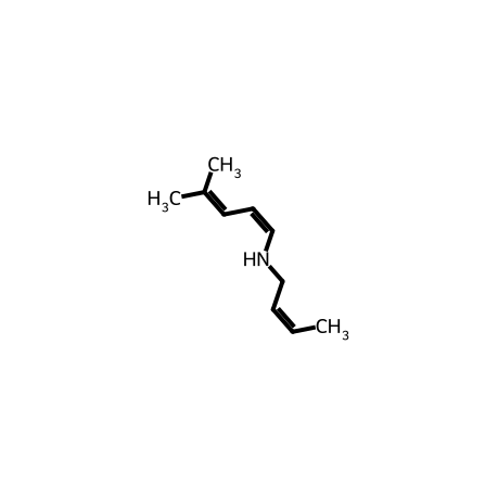 C/C=C\CN/C=C\C=C(C)C